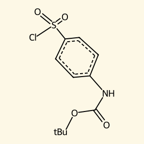 CC(C)(C)OC(=O)Nc1ccc(S(=O)(=O)Cl)cc1